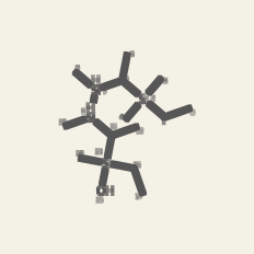 CC[Si](C)(C)C(C)[SiH](C)[SiH](C)C(C)[Si](C)(O)CC